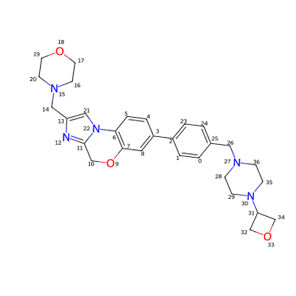 c1cc(-c2ccc3c(c2)OCc2nc(CN4CCOCC4)cn2-3)ccc1CN1CCN(C2COC2)CC1